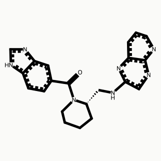 O=C(c1ccc2[nH]cnc2c1)N1CCCC[C@H]1CNc1cnc2ncccc2n1